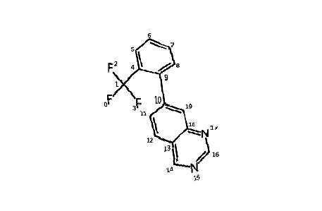 FC(F)(F)c1ccccc1-c1ccc2cncnc2c1